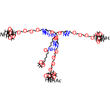 CC(=O)N[C@H]1[C@H]2OC[C@](CCOCCOCCOCCOCCn3cc(COCC(COCc4cn(CCOCCOCCOCCOC[C@@]56CO[C@@H](O5)[C@H](NC(C)=O)[C@H]5OC(C)(C)O[C@H]56)nn4)(COCc4cn(CCOCCOCCOCCOC[C@@]56CO[C@@H](O5)[C@H](NC(C)=O)[C@H]5OC(C)(C)O[C@H]56)nn4)NC(=O)CCCCCNC(=O)CCCCCB4OC(C)(C)C(C)(C)O4)nn3)(O2)[C@@H]2OC(C)(C)O[C@H]12